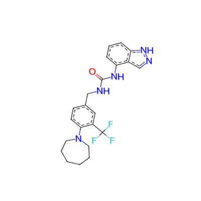 O=C(NCc1ccc(N2CCCCCC2)c(C(F)(F)F)c1)Nc1cccc2[nH]ncc12